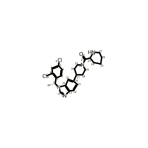 C[C@H](c1ccc(Cl)cc1Cl)n1cnc2ccc(C3CCN(C(=O)C4CCCCN4)CC3)cc21